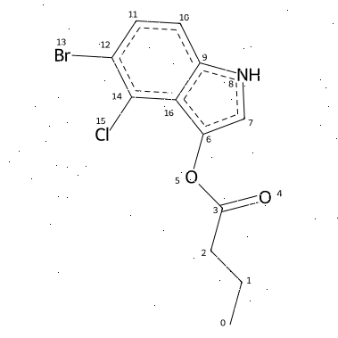 CCCC(=O)Oc1c[nH]c2ccc(Br)c(Cl)c12